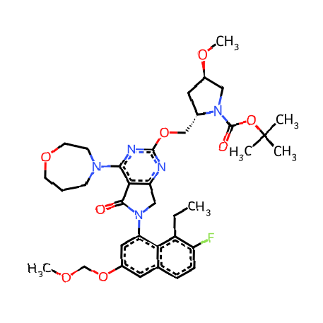 CCc1c(F)ccc2cc(OCOC)cc(N3Cc4nc(OC[C@@H]5C[C@@H](OC)CN5C(=O)OC(C)(C)C)nc(N5CCCOCC5)c4C3=O)c12